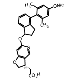 COc1cc(C)c(-c2cccc3c2CCC3Oc2cc3c(cn2)[C@H](CC(=O)O)CO3)c(C)c1